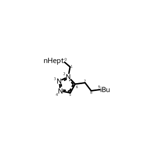 CCCCCCCCn1nncc1CCC(C)CC